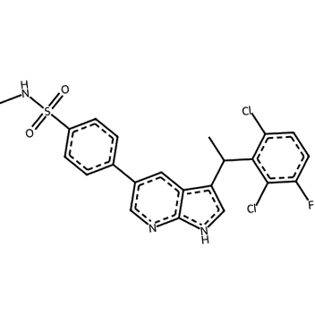 CNS(=O)(=O)c1ccc(-c2cnc3[nH]cc(C(C)c4c(Cl)ccc(F)c4Cl)c3c2)cc1